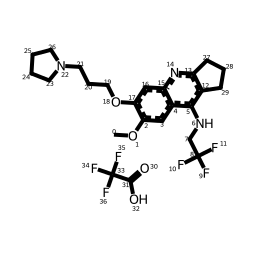 COc1cc2c(NCC(F)(F)F)c3c(nc2cc1OCCCN1CCCC1)CCC3.O=C(O)C(F)(F)F